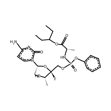 CCC(CC)OC(=O)[C@H](C)NP(=O)(OC[C@@](F)(O[C@H](CF)n1ccc(N)nc1=O)[C@H](C)O)Oc1ccccc1